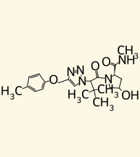 CNC(=O)[C@H]1CC(O)CN1C(=O)C(n1cc(COc2ccc(C)cc2)nn1)C(C)(C)C